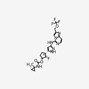 CC1(NC(=O)O[C@@H]2CC[C@H](c3cc(Nc4nccc5nc(COC(F)(F)F)cn45)n[nH]3)[C@@H]2F)CC1